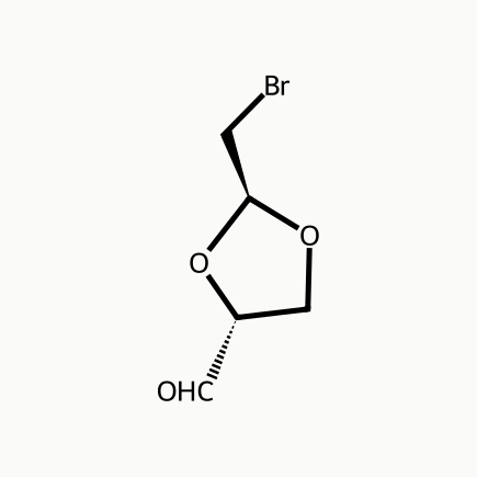 O=C[C@H]1CO[C@H](CBr)O1